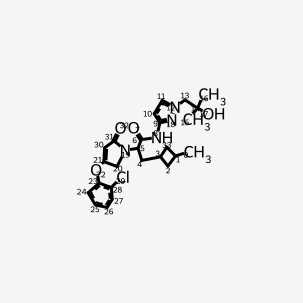 CC1CC(CC(C(=O)Nc2ccn(CC(C)(C)O)n2)N2CC(Oc3ccccc3Cl)=CC2=O)C1